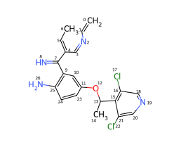 C=C/N=C\C(=C/C)C(=N)c1cc(OC(C)c2c(Cl)cncc2Cl)ccc1N